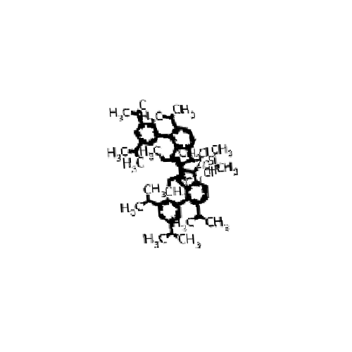 CCC(C)C1=Cc2c(ccc(C(C)C)c2-c2cc(C(C)C)cc(C(C)C)c2)[CH]1[Zr]([Cl])([Cl])([CH]1C(C(C)CC)=Cc2c1ccc(C(C)C)c2-c1cc(C(C)C)cc(C(C)C)c1)[SiH](C)C